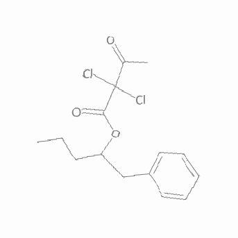 CCCC(Cc1ccccc1)OC(=O)C(Cl)(Cl)C(C)=O